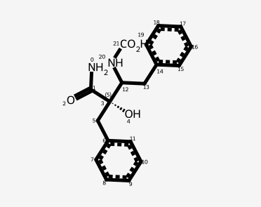 NC(=O)[C@](O)(Cc1ccccc1)C(Cc1ccccc1)NC(=O)O